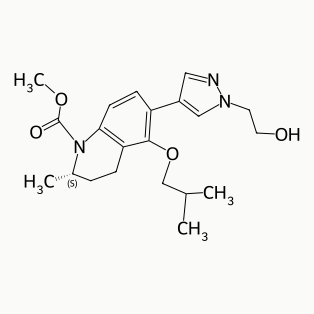 COC(=O)N1c2ccc(-c3cnn(CCO)c3)c(OCC(C)C)c2CC[C@@H]1C